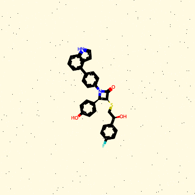 O=C1[C@H](SC[C@@H](O)c2ccc(F)cc2)[C@@H](c2ccc(O)cc2)N1c1ccc(-c2cccc3[nH]ccc23)cc1